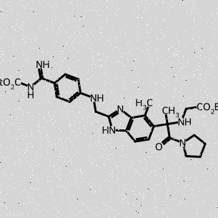 CCOC(=O)CNC(C)(C(=O)N1CCCC1)c1ccc2[nH]c(CNc3ccc(C(=N)NC(=O)OCC)cc3)nc2c1C